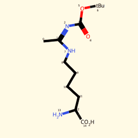 C/C(=N/C(=O)OC(C)(C)C)NCCCCC(N)C(=O)O